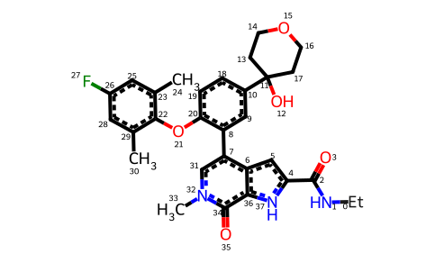 CCNC(=O)c1cc2c(-c3cc(C4(O)CCOCC4)ccc3Oc3c(C)cc(F)cc3C)cn(C)c(=O)c2[nH]1